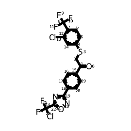 O=C(CSc1ccc(C(F)(F)F)c(Cl)c1)c1ccc(-c2noc(C(F)(F)Cl)n2)cc1